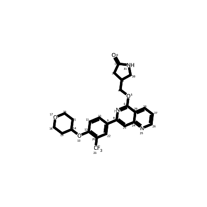 O=C1CC(COc2nc(-c3ccc(OC4CCOCC4)c(C(F)(F)F)c3)cc3ncccc23)CN1